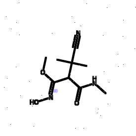 CNC(=O)C(/C(=N/O)OC)C(C)(C)C#N